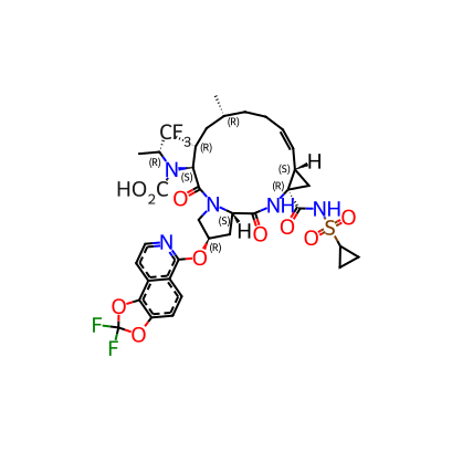 C[C@@H]1CCC=C[C@@H]2C[C@@]2(C(=O)NS(=O)(=O)C2CC2)NC(=O)[C@@H]2C[C@@H](Oc3nccc4c5c(ccc34)OC(F)(F)O5)CN2C(=O)[C@@H](N(C(=O)O)[C@H](C)C(F)(F)F)[C@H](C)C1